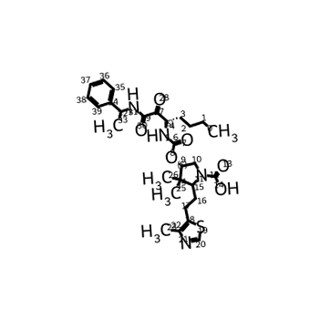 CCCC[C@H](NC(=O)O[C@@H]1CN(C(=O)O)C(CCc2scnc2C)C1(C)C)C(=O)C(=O)NC(C)c1ccccc1